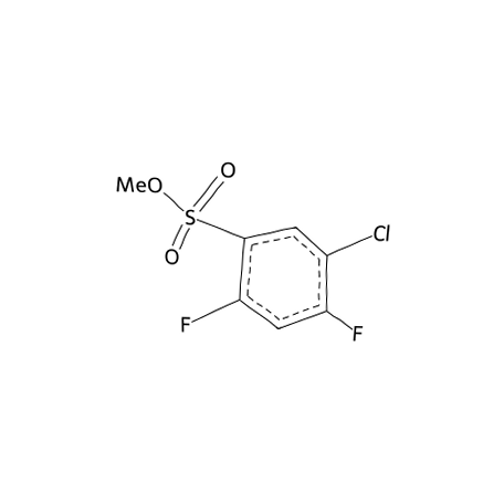 COS(=O)(=O)c1cc(Cl)c(F)cc1F